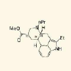 CCCN1C[C@H](C(=O)OC)C[C@@H]2c3cccc4[nH]c(CC)c(c34)C[C@H]21